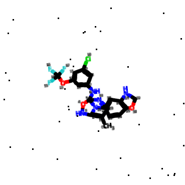 CC1=C2NOC(Nc3cc(Cl)cc(OC(F)(F)F)c3)(N=C1)N2c1ccc2c(c1)NCO2